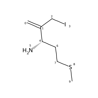 C=C(CI)[C@@H](N)CCSC